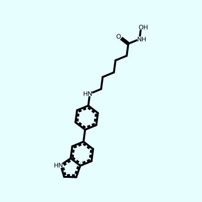 O=C(CCCCCNc1ccc(-c2ccc3cc[nH]c3c2)cc1)NO